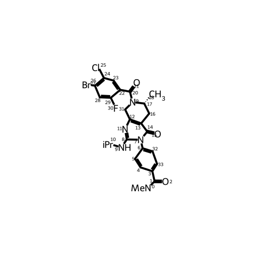 CNC(=O)c1ccc(-n2c(NC(C)C)nc3c(c2=O)C[C@@H](C)N(C(=O)c2cc(Cl)c(Br)cc2F)C3)cc1